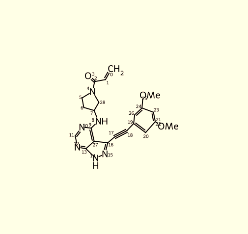 C=CC(=O)N1CCC(Nc2ncnc3[nH]nc(C#Cc4cc(OC)cc(OC)c4)c23)C1